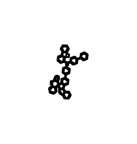 c1ccc(-c2ccc(N(c3ccc(-c4ccc5c(c4)C4(c6ccccc6Sc6ccccc64)c4ccc6ccccc6c4-5)cc3)c3cccc4c3oc3ccccc34)cc2)cc1